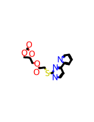 O=C(CSc1nccc(-c2ccccn2)n1)OCC1COC(=O)O1